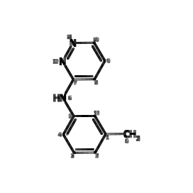 Cc1cccc(Nc2cccnn2)c1